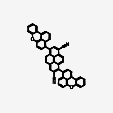 N#Cc1cc2ccc3c(-c4ccc5c6c(cccc46)-c4ccccc4O5)cc(C#N)c4ccc(c1-c1ccc5c6c(cccc16)Oc1ccccc1-5)c2c43